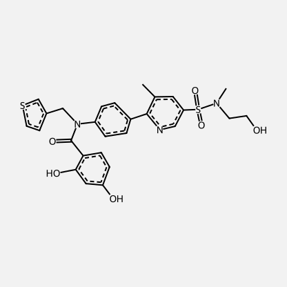 Cc1cc(S(=O)(=O)N(C)CCO)cnc1-c1ccc(N(Cc2ccsc2)C(=O)c2ccc(O)cc2O)cc1